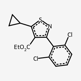 CCOC(=O)c1c(-c2c(Cl)cccc2Cl)nsc1C1CC1